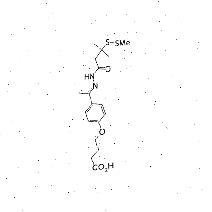 CSSC(C)(C)CC(=O)N/N=C(\C)c1ccc(OCCCC(=O)O)cc1